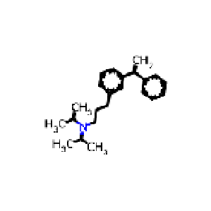 C=C(c1ccccc1)c1cccc(CCCN(C(C)C)C(C)C)c1